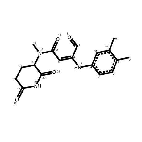 Cc1ccc(N/C(C=O)=C/C(=O)N(C)C2CCC(=O)NC2=O)cc1C